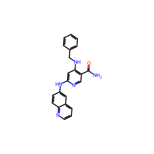 NC(=O)c1cnc(Nc2ccc3ncccc3c2)cc1NCc1ccccc1